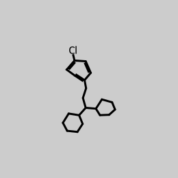 Clc1ccc(CCC(C2CCCCC2)C2CCCCC2)cc1